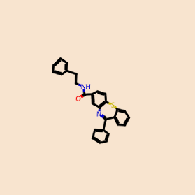 O=C(NCCc1ccccc1)c1ccc2c(c1)N=C(c1ccccc1)c1ccccc1S2